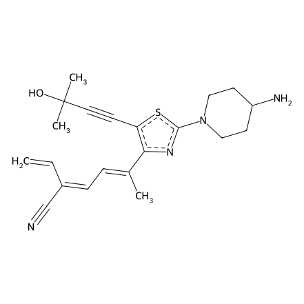 C=C/C(C#N)=C\C=C(/C)c1nc(N2CCC(N)CC2)sc1C#CC(C)(C)O